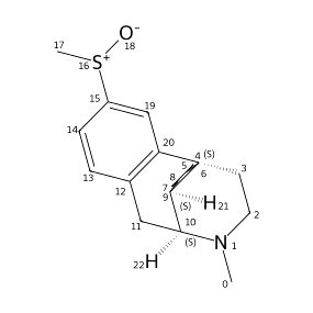 CN1CC[C@@]23CCCC[C@@H]2[C@@H]1Cc1ccc([S+](C)[O-])cc13